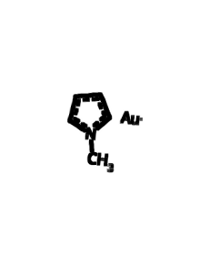 Cn1cccc1.[Au]